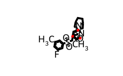 Cc1ccc(N2C3CCC2CN(C(=O)CCS(=O)(=O)c2cc(C)cc(F)c2)C3)nc1